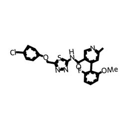 COc1cccc(F)c1-c1cc(C)ncc1C(=O)Nc1nnc(COc2ccc(Cl)cc2)s1